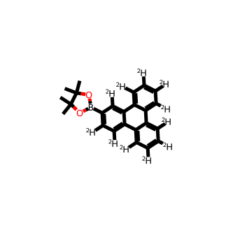 [2H]c1c([2H])c([2H])c2c(c1[2H])c1c([2H])c([2H])c([2H])c([2H])c1c1c([2H])c(B3OC(C)(C)C(C)(C)O3)c([2H])c([2H])c21